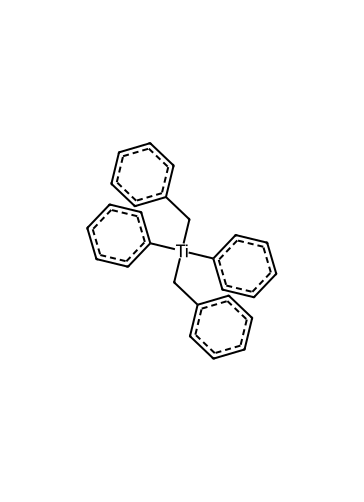 c1ccc([CH2][Ti]([CH2]c2ccccc2)([c]2ccccc2)[c]2ccccc2)cc1